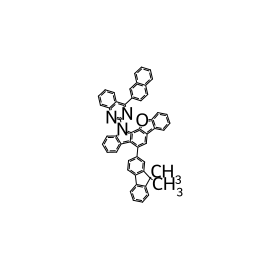 CC1(C)c2ccccc2-c2ccc(-c3cc4c5ccccc5oc4c4c3c3ccccc3n4-c3nc(-c4ccc5ccccc5c4)c4ccccc4n3)cc21